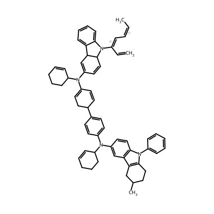 C=C/C(=C\C=C/C)N1c2ccccc2C2C=C(N(C3=CCC(c4ccc(N(c5ccc6c(c5)c5c(n6-c6ccccc6)CCC(C)C5)C5C=CCCC5)cc4)C=C3)C3C=CCCC3)C=CC21